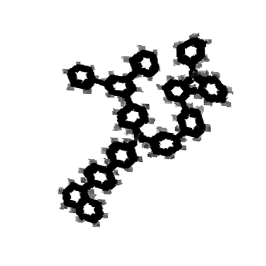 c1ccc(-c2cc(-c3ccccc3)cc(-c3ccc(N(c4ccc(-c5ccc(-c6cccc7ccccc67)cc5)cc4)c4cccc(-c5cccc(-c6cccc7c6c6ccccc6n7-c6ccccc6)c5)c4)cc3)c2)cc1